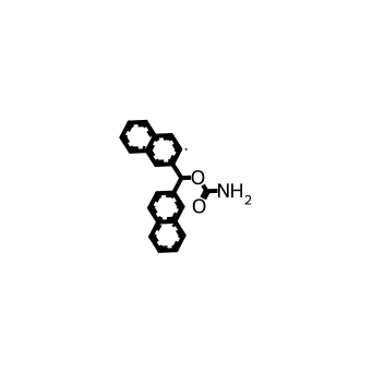 NC(=O)OC(c1[c]cc2ccccc2c1)c1ccc2ccccc2c1